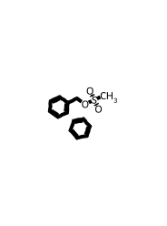 CS(=O)(=O)OCc1ccccc1.c1ccccc1